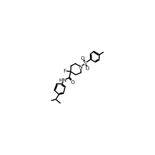 Cc1ccc(S(=O)(=O)N2CCC(F)(C(=O)Nc3ccc(C(C)C)cc3)CC2)cc1